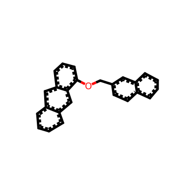 c1ccc2cc(COc3cccc4cc5ccccc5cc34)ccc2c1